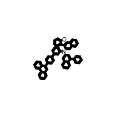 c1ccc(-c2cc(N(c3cccc(-c4ccc(-c5cc6ccccc6c6ccccc56)cc4)c3)c3cc4ccccc4c4oc5ccccc5c34)cc3ccccc23)cc1